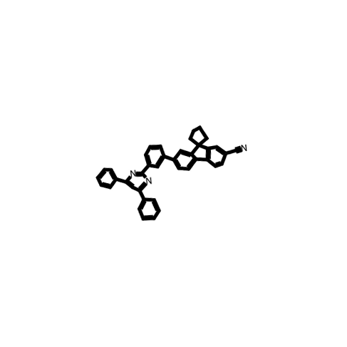 N#Cc1ccc2c(c1)C1(CCCC1)c1cc(-c3cccc(-c4nc(-c5ccccc5)cc(-c5ccccc5)n4)c3)ccc1-2